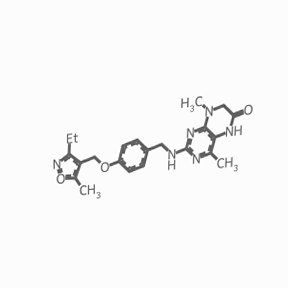 CCc1noc(C)c1COc1ccc(CNc2nc(C)c3c(n2)N(C)CC(=O)N3)cc1